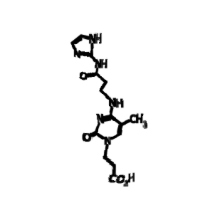 Cc1cn(CCC(=O)O)c(=O)nc1NCCC(=O)Nc1ncc[nH]1